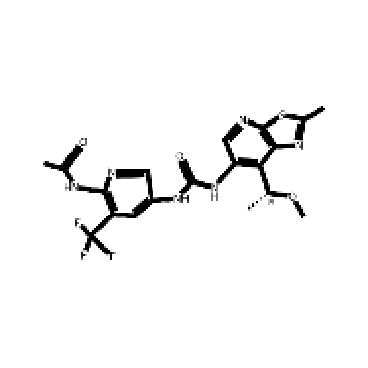 CO[C@H](C)c1c(NC(=O)Nc2cnc(NC(C)=O)c(C(F)(F)F)c2)cnc2sc(C)nc12